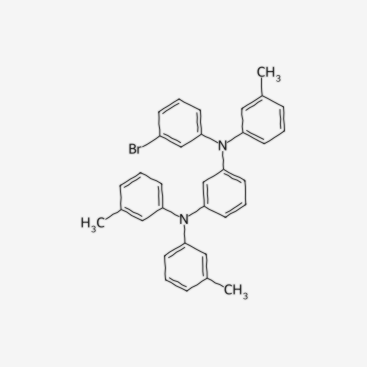 Cc1cccc(N(c2cccc(C)c2)c2cccc(N(c3cccc(C)c3)c3cccc(Br)c3)c2)c1